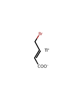 O=C([O-])C=CCBr.[Tl+]